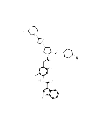 C[C@@H]1CN(C2CN([C@H]3C[C@@H](CO[C@H]4CC[C@H](C=O)CC4)N(C(=O)Cc4cc(Cl)c(NC(=O)c5cn(C)c6ccccc56)cc4Cl)C3)C2)C[C@H](C)O1